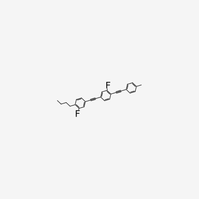 CCCCc1ccc(C#Cc2ccc(C#Cc3ccc(C)cc3)c(F)c2)cc1F